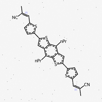 CCCc1c2cc(-c3ccc(/C=C(/C)C#N)s3)sc2c(CCC)c2cc(-c3ccc(/C=C(/C)C#N)s3)sc12